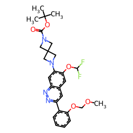 COCOc1ccccc1-c1cc2cc(OC(F)F)c(N3CC4(CN(C(=O)OC(C)(C)C)C4)C3)cc2nn1